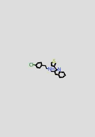 Clc1ccc(CCNCc2cc3ccccc3nc2-c2ccsc2)cc1